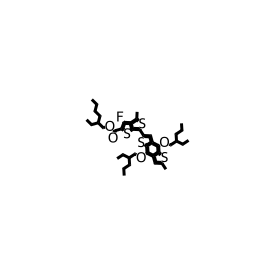 CCCCC(CC)COC(=O)c1sc2c(-c3cc4c(OCC(CC)CCC)c5sc(C)cc5c(OCC(CC)CCC)c4s3)sc(C)c2c1F